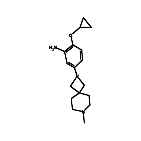 CN1CCC2(CC1)CN(c1ccc(OC3CC3)c(N)c1)C2